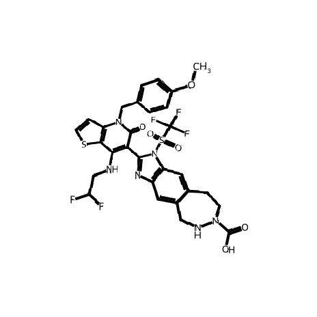 COc1ccc(Cn2c(=O)c(-c3nc4cc5c(cc4n3S(=O)(=O)C(F)(F)F)CCN(C(=O)O)NC5)c(NCC(F)F)c3sccc32)cc1